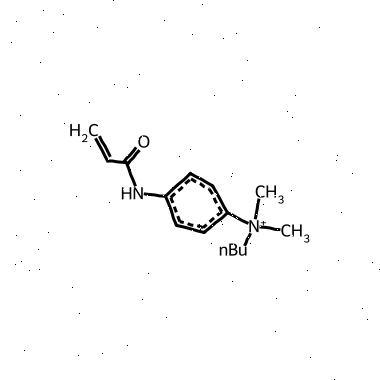 C=CC(=O)Nc1ccc([N+](C)(C)CCCC)cc1